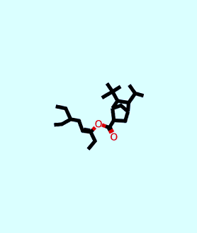 CC/C(=C/CC(CC)CC)OC(=O)C1CC2CC1C(C(C)(C)C)C2C(C)C